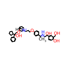 CC(NC[C@H](O)c1ccc(O)c(CO)c1)c1ccc(OCCC[N+]23CCC(CC2)[C@@H](OCC(O)(c2ccccc2)C2CCCC2)C3)cc1